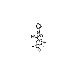 C[C@@H](O)[C@H]1C(=O)N[C@@H]1CC(=O)C(=[N+]=[N-])C(=O)OCc1ccccc1